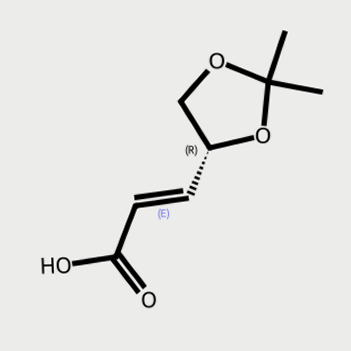 CC1(C)OC[C@@H](/C=C/C(=O)O)O1